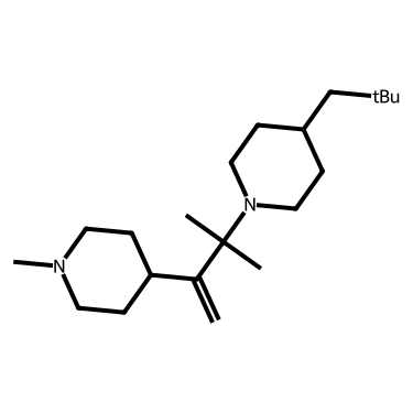 C=C(C1CCN(C)CC1)C(C)(C)N1CCC(CC(C)(C)C)CC1